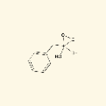 OP1(O)(Cc2ccccc2)OO1